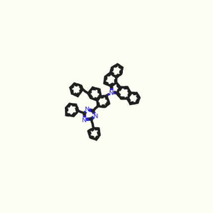 c1ccc(-c2ccc3c(-n4c5cc6ccccc6cc5c5c6ccccc6ccc54)ccc(-c4nc(-c5ccccc5)nc(-c5ccccc5)n4)c3c2)cc1